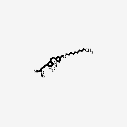 CCCCCCCCCCOCc1ccc2c(c1)CCc1cc(/C=C/C=C(/C#N)OC=O)ccc1N2CC